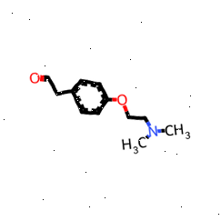 CN(C)CCOc1ccc(CC=O)cc1